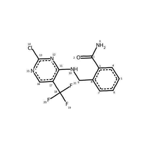 NC(=O)c1ccccc1CNc1nc(Cl)ncc1C(F)(F)F